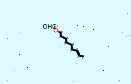 C/C=C/CCCCCCO[C]=O